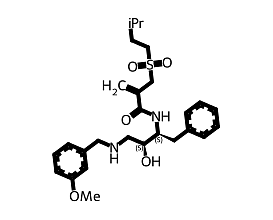 C=C(CS(=O)(=O)CCC(C)C)C(=O)N[C@@H](Cc1ccccc1)[C@@H](O)CNCc1cccc(OC)c1